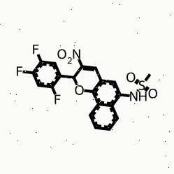 CS(=O)(=O)Nc1cc2c(c3ccccc13)OC(c1cc(F)c(F)cc1F)C([N+](=O)[O-])=C2